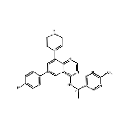 C[C@@H](Nc1ncnc2c(C3=CCNCC3)cc(-c3ccc(F)cc3)cc12)c1cnc(C(F)(F)F)nc1